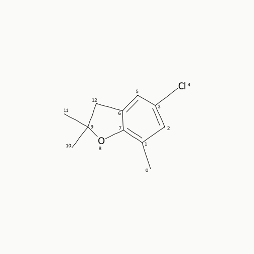 Cc1cc(Cl)cc2c1OC(C)(C)C2